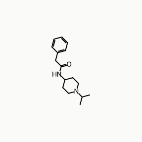 CC(C)N1CCC(NC(=O)Cc2ccccc2)CC1